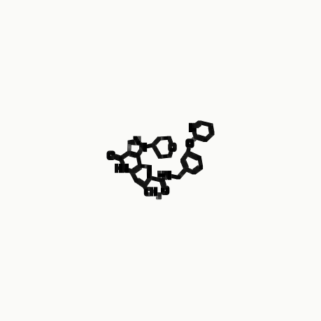 Cc1cc2[nH]c(=O)c3cnn(C4CCOCC4)c3c2cc1C(=O)NCc1cccc(Oc2ccccn2)c1